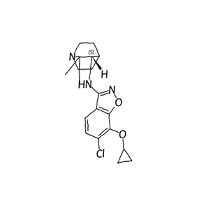 CC1(C)[C@@H](Nc2noc3c(OC4CC4)c(Cl)ccc23)C2CCN1CC2